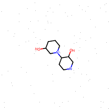 OC1CCC[N+](C2CC[N]CC2O)C1